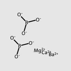 [Ba+2].[Ca+2].[Mg+2].[O-]B([O-])[O-].[O-]B([O-])[O-]